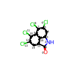 O=C1Nc2cc(Cl)c(Cl)c3c(Cl)c(Cl)cc1c23